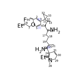 C=C/C=C(\C=C/OCC(F)CC)C1(C(=C)CC(N)CCC/C(C)=C(\N)C2=C(CC)N(C)CC=C2)CC1